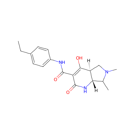 CCc1ccc(NC(=O)C2=C(O)[C@H]3CN(C)C(C)[C@@H]3NC2=O)cc1